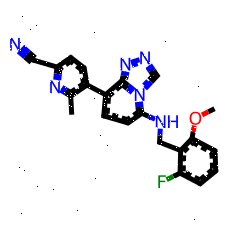 COc1cccc(F)c1CNc1ccc(-c2ccc(C#N)nc2C)c2nncn12